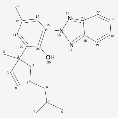 C=CC(C)(CCCC(C)C)c1cc(C)cc(-n2nc3ccccc3n2)c1O